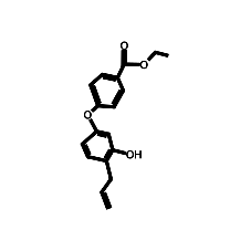 C=CCc1ccc(Oc2ccc(C(=O)OCC)cc2)cc1O